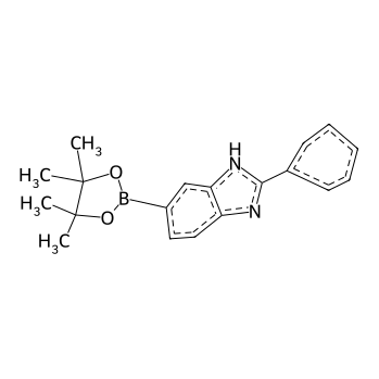 CC1(C)OB(c2ccc3nc(-c4ccccc4)[nH]c3c2)OC1(C)C